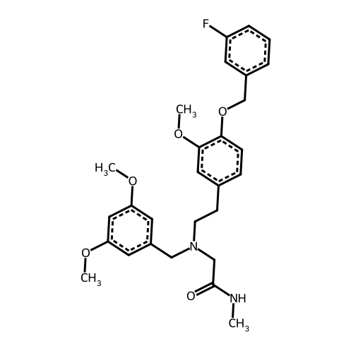 CNC(=O)CN(CCc1ccc(OCc2cccc(F)c2)c(OC)c1)Cc1cc(OC)cc(OC)c1